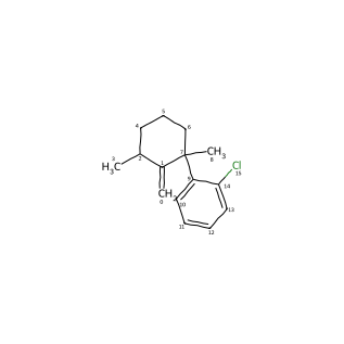 C=C1C(C)CCCC1(C)c1ccccc1Cl